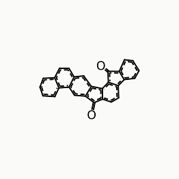 O=c1c2cc3c(ccc4ccccc43)cc2c2c1ccc1c3ccccc3c(=O)c12